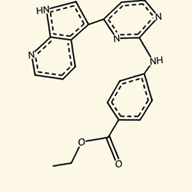 CCOC(=O)c1ccc(Nc2nccc(-c3c[nH]c4ncccc34)n2)cc1